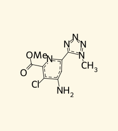 COC(=O)c1nc(-c2nnnn2C)cc(N)c1Cl